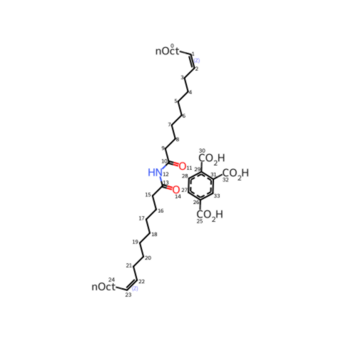 CCCCCCCC/C=C\CCCCCCCC(=O)NC(=O)CCCCCCC/C=C\CCCCCCCC.O=C(O)c1ccc(C(=O)O)c(C(=O)O)c1